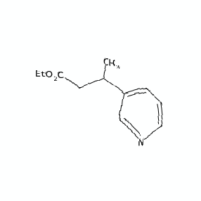 CCOC(=O)CC(C)c1cccnc1